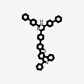 C1=C(c2ccc(-c3ccc4c(c3)sc3c4ccc4c(-c5ccccc5)nc5ccccc5c43)cc2)N=C(c2ccc(-c3ccccc3)cc2)NC1c1ccc(-c2ccccc2)cc1